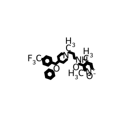 Cc1cc[n+]([O-])c(C)c1C(=O)NCCC(C)N1CCC(C(Oc2ccccc2)c2ccc(C(F)(F)F)cc2)CC1